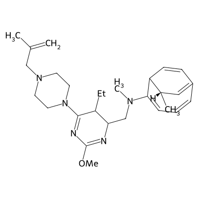 C=C(C)CN1CCN(C2=NC(OC)=NC(CN(C)/C3=C/C=C\C4=C[C@H](C)C3C=C4)C2CC)CC1